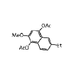 CCc1ccc2c(OC(C)=O)c(OC)cc(OC(C)=O)c2c1